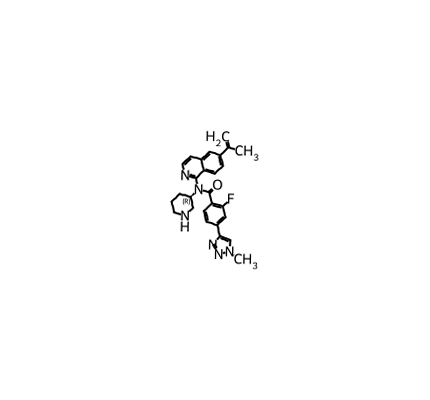 C=C(C)c1ccc2c(N(C(=O)c3ccc(-c4cn(C)nn4)cc3F)[C@@H]3CCCNC3)nccc2c1